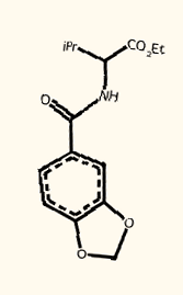 CCOC(=O)C(NC(=O)c1ccc2c(c1)OCO2)C(C)C